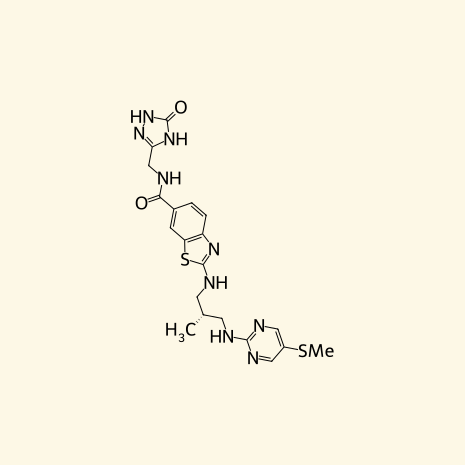 CSc1cnc(NC[C@H](C)CNc2nc3ccc(C(=O)NCc4n[nH]c(=O)[nH]4)cc3s2)nc1